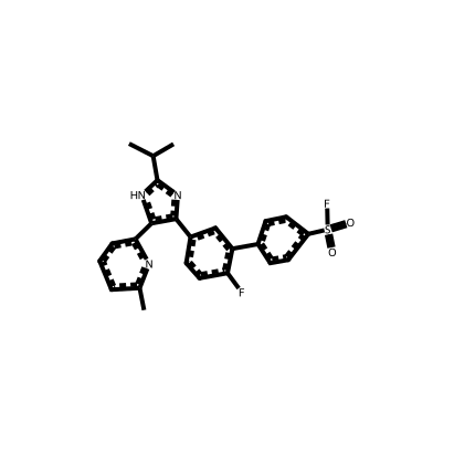 Cc1cccc(-c2[nH]c(C(C)C)nc2-c2ccc(F)c(-c3ccc(S(=O)(=O)F)cc3)c2)n1